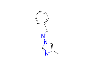 Cc1cn(N=Cc2ccccc2)cn1